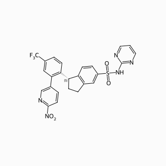 O=[N+]([O-])c1ccc(-c2cc(C(F)(F)F)ccc2[C@H]2CCc3cc(S(=O)(=O)Nc4ncccn4)ccc32)cn1